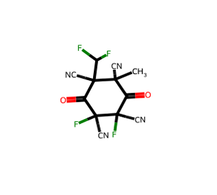 CC1(C#N)C(=O)C(F)(C#N)C(F)(C#N)C(=O)C1(C#N)C(F)F